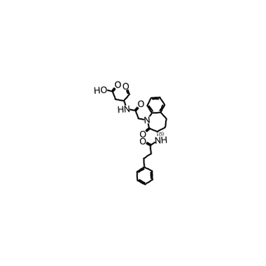 O=CC(CC(=O)O)NC(=O)CN1C(=O)[C@@H](NC(=O)CCc2ccccc2)CCc2ccccc21